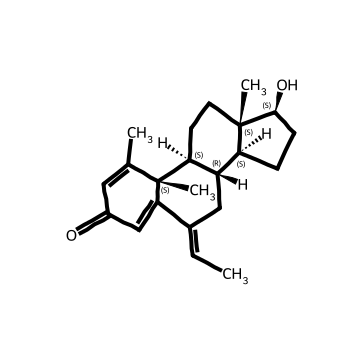 CC=C1C[C@@H]2[C@H](CC[C@]3(C)[C@@H](O)CC[C@@H]23)[C@@]2(C)C(C)=CC(=O)C=C12